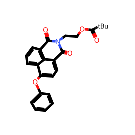 CC(C)(C)C(=O)OCCN1C(=O)c2cccc3c(Oc4ccccc4)ccc(c23)C1=O